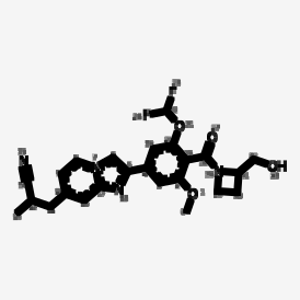 COc1cc(-c2cn3ccc(CC(C)C#N)cc3n2)cc(OC(F)F)c1C(=O)N1CCC1CO